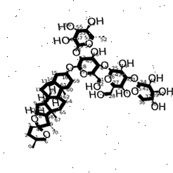 C[C@H]1CC[C@@]2(OC1)O[C@H]1C[C@H]3[C@@H]4CC=C5C[C@@H](O[C@@H]6O[C@H](CO)[C@@H](O[C@@H]7O[C@H](CO)[C@@H](O)[C@H](O[C@@H]8OC[C@@H](O)[C@H](O)[C@H]8O)[C@H]7O)[C@H](O)[C@H]6O[C@@H]6O[C@@H](C)[C@H](O)[C@@H](O)[C@H]6O)CC[C@]5(C)[C@H]4CC[C@]3(C)[C@H]1[C@@H]2C